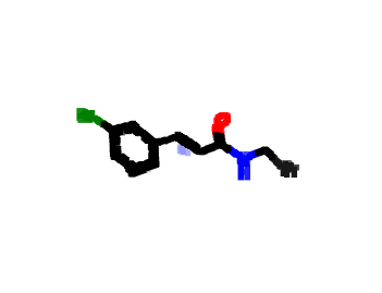 CC(C)CNC(=O)/C=C/c1cccc(Br)c1